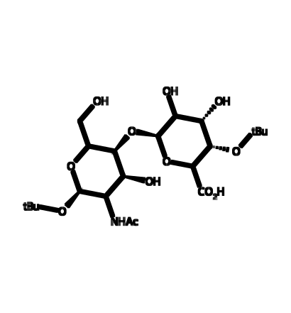 CC(=O)NC1[C@@H](OC(C)(C)C)OC(CO)[C@@H](O[C@@H]2OC(C(=O)O)[C@@H](OC(C)(C)C)[C@@H](O)C2O)[C@H]1O